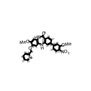 COc1cc2c(cc1OCc1ccccn1)Nc1cc(-c3ccc([N+](=O)[O-])c(OC)c3)ccc1C(=O)N2